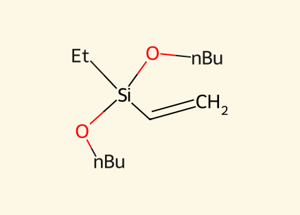 C=C[Si](CC)(OCCCC)OCCCC